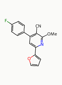 COc1nc(-c2ccco2)cc(-c2ccc(F)cc2)c1C#N